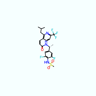 CC(C)Cc1nc(C(F)(F)F)ccc1/C=C\C(=O)N[C@H](C)c1cc(F)c(NS(C)(=O)=O)c(F)c1